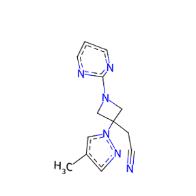 Cc1cnn(C2(CC#N)CN(c3ncccn3)C2)c1